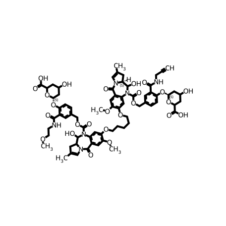 C#CCNC(=O)c1cc(COC(=O)N2c3cc(OCCCCCOc4cc5c(cc4OC)C(=O)N4C=C(C)CC4C(O)N5C(=O)OCc4ccc(O[C@H]5CC(O)CC(C(=O)O)O5)c(C(=O)NCCOC)c4)c(OC)cc3C(=O)N3C=C(C)C[C@H]3C2O)ccc1O[C@H]1CC(O)CC(C(=O)O)O1